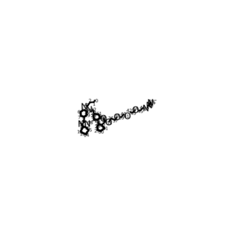 CCCc1nc2ccc(-c3nc4ccccc4n3C)cc2n1Cc1ccc(-c2ccccc2C(=O)OCCOCCOCCOCCN=[N+]=[N-])cc1